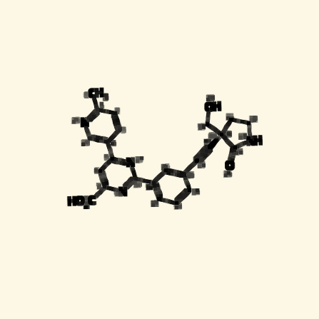 Cc1ccc(-c2cc(C(=O)O)nc(-c3cccc(C#C[C@@]4(CO)CCNC4=O)c3)n2)cn1